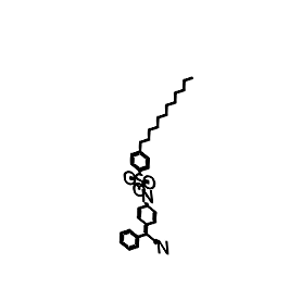 CCCCCCCCCCCCc1ccc(S(=O)(=O)ON=C2C=CC(=C(C#N)c3ccccc3)C=C2)cc1